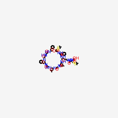 CC(C)C[C@@H]1NC(=O)[C@H](CCCCNC(=O)[C@H](CSSC(C)(C)C)NC(=O)O)NC(=O)[C@H](Cc2ccccc2)NC(=O)C(CSSC(C)(C)C)OC(=O)[C@H](Cc2ccccc2)NC(=O)[C@H](C)NC(=O)[C@H](C)N(C)C(=O)[C@H](Cc2ccccc2)N(C)C(=O)[C@H](C)NC(=O)[C@H](CC(C)C)N(C)C(=O)[C@H](C)N(C)C1=O